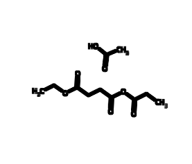 CC(=O)O.CCOC(=O)CCC(=O)OC(=O)CC